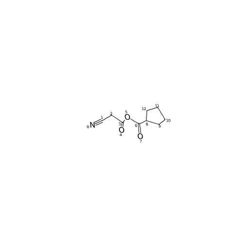 N#CCC(=O)OC(=O)C1CCCC1